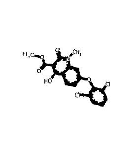 COC(=O)c1c(O)c2ccc(Oc3c(Cl)cccc3Cl)cc2n(C)c1=O